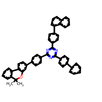 CC1(C)Oc2cc(-c3ccc(-c4nc(-c5ccc(-c6ccccc6)cc5)nc(-c5ccc(-c6cccc7ccccc67)cc5)n4)cc3)ccc2-c2ccccc21